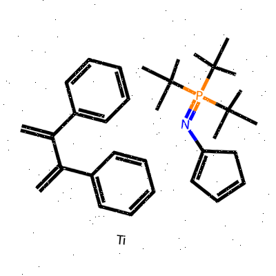 C=C(C(=C)c1ccccc1)c1ccccc1.CC(C)(C)P(=NC1=CC=CC1)(C(C)(C)C)C(C)(C)C.[Ti]